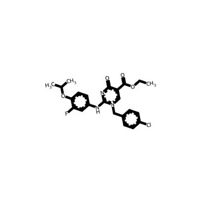 CCOC(=O)c1cn(Cc2ccc(Cl)cc2)c(Nc2ccc(OC(C)C)c(F)c2)nc1=O